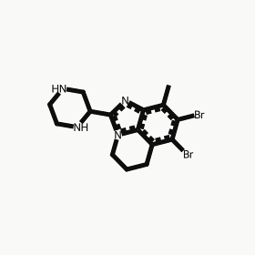 Cc1c(Br)c(Br)c2c3c1nc(C1CNCCN1)n3CCC2